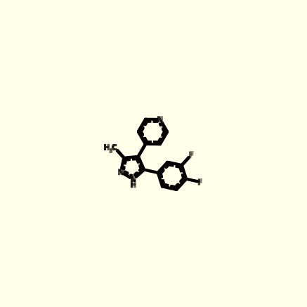 Cc1n[nH]c(-c2ccc(F)c(F)c2)c1-c1ccncc1